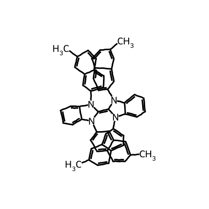 Cc1ccc2ccc(N3C(=C4N(c5ccc6ccc(C)cc6c5)c5ccccc5N4c4ccc5ccc(C)cc5c4)N(c4ccc5ccc(C)cc5c4)c4ccccc43)cc2c1